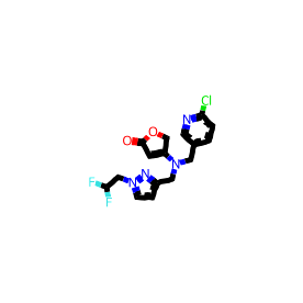 O=C1C=C(N(Cc2ccc(Cl)nc2)Cc2ccn(CC(F)F)n2)CO1